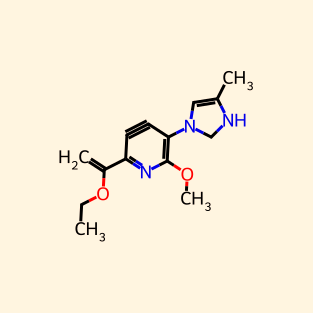 C=C(OCC)c1c#cc(N2C=C(C)NC2)c(OC)n1